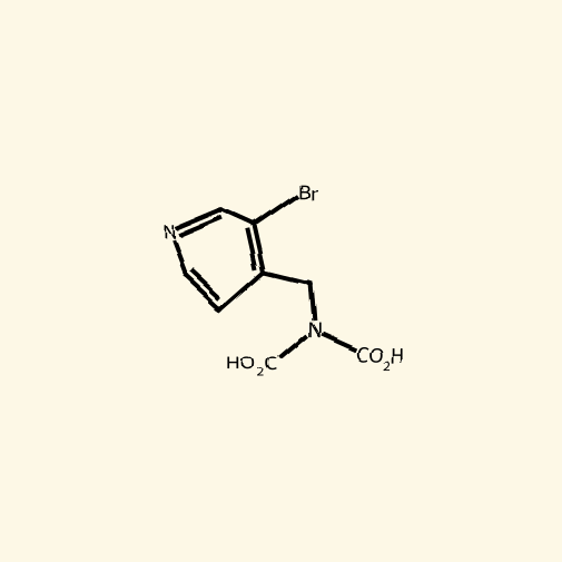 O=C(O)N(Cc1ccncc1Br)C(=O)O